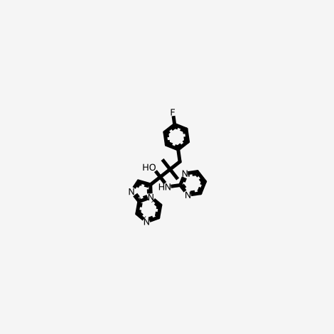 CC(C)(Cc1ccc(F)cc1)C(O)(Nc1ncccn1)c1cnc2cnccn12